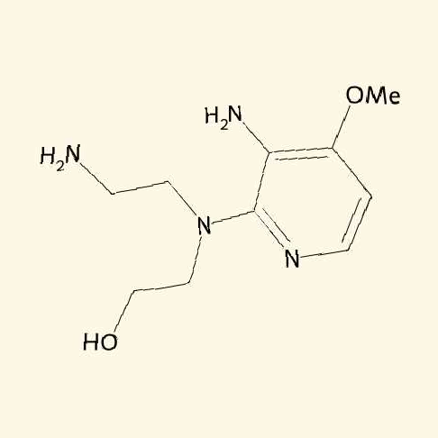 COc1ccnc(N(CCN)CCO)c1N